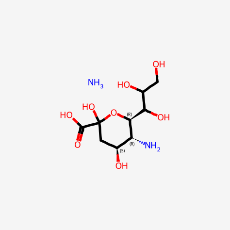 N.N[C@@H]1[C@@H](O)CC(O)(C(=O)O)O[C@H]1C(O)C(O)CO